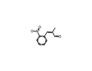 CC(C=O)=Cc1ccccc1[N+](=O)[O-]